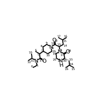 CCN(C(=O)C(C)C1CCN(C(=O)C(CC(C)C)N2CCN[C@@H](CC(C)C)C2=O)CC1)C(C)C